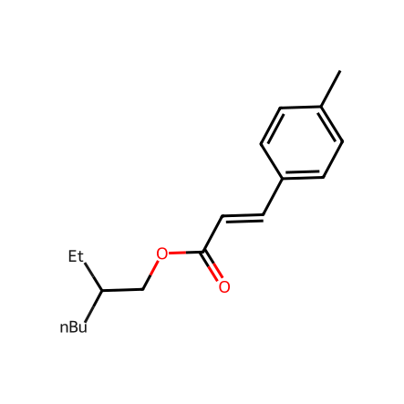 CCCCC(CC)COC(=O)/C=C/c1ccc(C)cc1